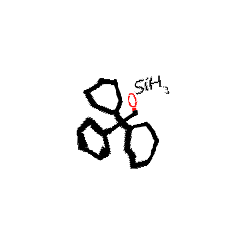 [SiH3]OCC(c1ccccc1)(C1CCCCC1)C1CCCCC1